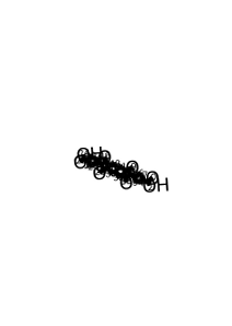 O=C(O)c1ccc(-n2c(=O)c3cc4cc5c(=O)n(-c6ccc(C(=O)O)cc6)c(=O)c5cc4cc3c2=O)cc1